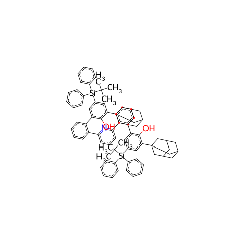 CC(C)(C)[Si](c1ccccc1)(c1ccccc1)c1cc(-c2ccccc2-c2cccc(-c3ccccc3-c3cc([Si](c4ccccc4)(c4ccccc4)C(C)(C)C)cc(C45CC6CC(CC(C6)C4)C5)c3O)n2)c(O)c(C23CC4CC(CC(C4)C2)C3)c1